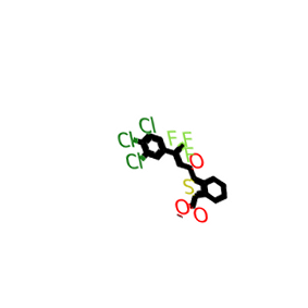 COC(=O)c1sc(C(=O)C=C(c2cc(Cl)c(Cl)c(Cl)c2)C(F)(F)F)c2c1CCCC2